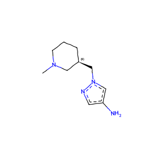 CN1CCC[C@@H](Cn2cc(N)cn2)C1